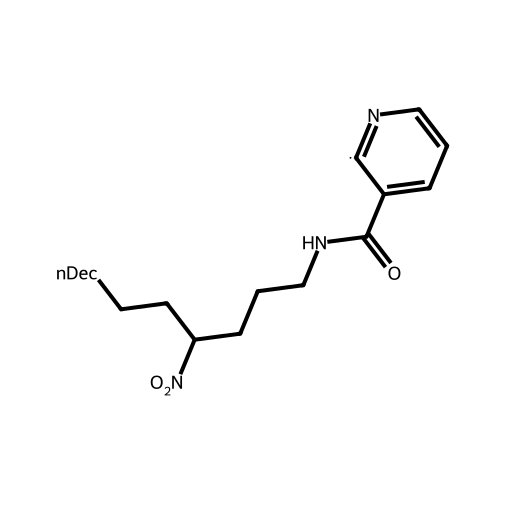 CCCCCCCCCCCCC(CCCNC(=O)c1[c]nccc1)[N+](=O)[O-]